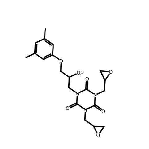 Cc1cc(C)cc(OCC(O)Cn2c(=O)n(CC3CO3)c(=O)n(CC3CO3)c2=O)c1